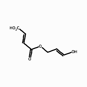 O=C(O)C=CC(=O)OCC=CO